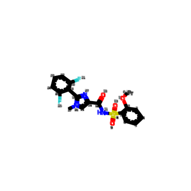 CC(C)Oc1ccccc1S(=O)(=O)NC(=O)c1cn(C)c(-c2c(F)cccc2F)n1